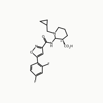 O=C(NC1[C@H](C(=O)O)CCCN1CC1CC1)c1cc(-c2ccc(F)cc2F)on1